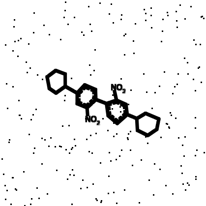 O=[N+]([O-])c1cc(C2CCCCC2)ccc1-c1ccc(C2CCCCC2)cc1[N+](=O)[O-]